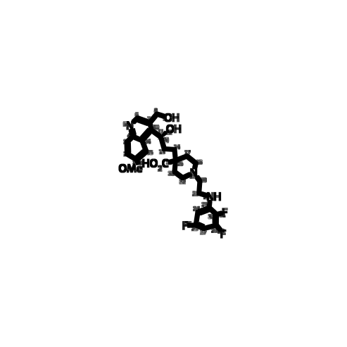 COc1ccc2ncc(CO)c([C@@H](O)CCC3(C(=O)O)CCN(CCNc4cc(F)cc(F)c4F)CC3)c2c1